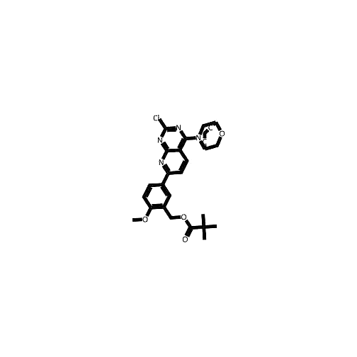 COc1ccc(-c2ccc3c(N4CC5CCCC4CO5)nc(Cl)nc3n2)cc1COC(=O)C(C)(C)C